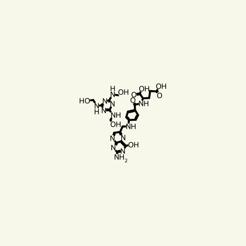 Nc1nc(O)c2nc(CNc3ccc(C(=O)NC(CCC(=O)O)C(=O)O)cc3)cnc2n1.OCNc1nc(NCO)nc(NCO)n1